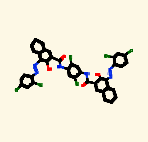 O=C(Nc1cc(Cl)c(NC(=O)c2cc3ccccc3c(/N=N/c3ccc(Cl)cc3Cl)c2O)cc1Cl)c1cc2ccccc2c(N=Nc2ccc(Cl)cc2Cl)c1O